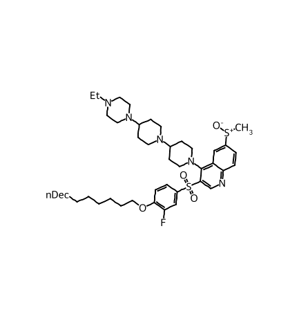 CCCCCCCCCCCCCCCCOc1ccc(S(=O)(=O)c2cnc3ccc([S+](C)[O-])cc3c2N2CCC(N3CCC(N4CCN(CC)CC4)CC3)CC2)cc1F